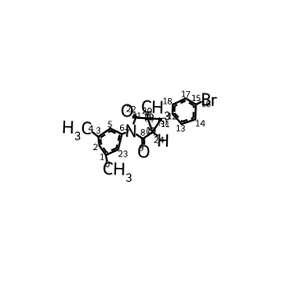 Cc1cc(C)cc(N2C(=O)[C@H]3[C@@H](c4ccc(Br)cc4)[C@@]3(C)C2=O)c1